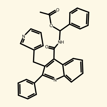 CC(=O)OC(NC(=O)c1c(Cc2cccnc2)c(-c2ccccc2)nc2ccccc12)c1ccccc1